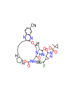 CC(C)(C)[C@@H]1NC(=O)O[C@@H]2CCC[C@H]2CCCCCc2nc3ccc(C#N)cc3nc2O[C@@H]2C[C@@H](C(=O)N[C@]3(C(=O)NS(=O)(=O)C4(C)CC4)C[C@H]3C(F)F)N(C2)C1=O